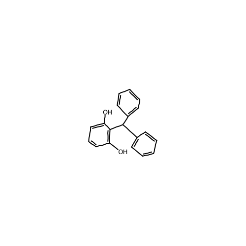 Oc1cccc(O)c1C(c1ccccc1)c1ccccc1